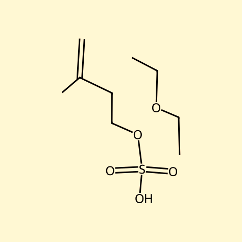 C=C(C)CCOS(=O)(=O)O.CCOCC